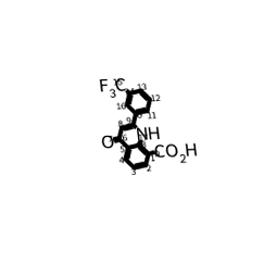 O=C(O)c1cccc2c(=O)cc(-c3cccc(C(F)(F)F)c3)[nH]c12